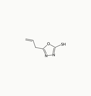 C=CCc1nnc(S)o1